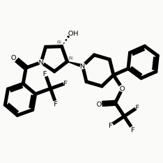 O=C(c1ccccc1C(F)(F)F)N1C[C@H](O)[C@@H](N2CCC(OC(=O)C(F)(F)F)(c3ccccc3)CC2)C1